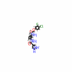 O=C(COc1ccc(Cl)c(F)c1)N[C@@H]1CC2(NC(=O)C3CNNC3)CC1C2